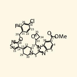 COC(=O)c1ccc2nc(CN3CC=C(c4csnc4OCc4ccc(Cl)cc4F)CC3)n(CC3CCO3)c2c1